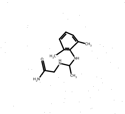 Cc1cccc(C)c1NC(C)NCC(N)=O